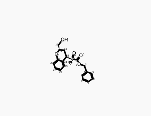 O=C(OCc1ccccc1)S(=O)(=O)[C@@H]1C[C@H](CO)Oc2ccccc21